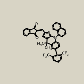 CC1(C)c2cc(-c3c(C(F)(F)F)cccc3C(F)(F)F)ccc2N(c2cccc3ccccc23)c2sc(C=C3C(=O)c4ccccc4C3=O)cc21